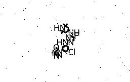 Cn1nnn(-c2cc(Cl)cc(Nc3ncc(F)c(NC4CC(C)(C)NC(C)(C)C4)n3)c2)c1=O